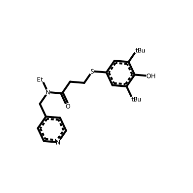 CCN(Cc1ccncc1)C(=O)CCSc1cc(C(C)(C)C)c(O)c(C(C)(C)C)c1